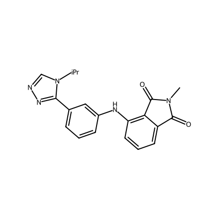 CC(C)n1cnnc1-c1cccc(Nc2cccc3c2C(=O)N(C)C3=O)c1